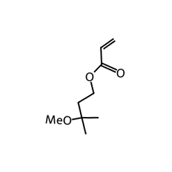 C=CC(=O)OCCC(C)(C)OC